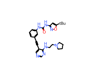 CC(C)(C)c1cc(NC(=O)Nc2cccc(C#Cc3cncnc3NCCN3CCCC3)c2)no1